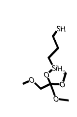 COCC(OC)(OC)O[SiH2]CCCS